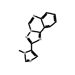 Cn1cncc1-c1nc2c3ccccc3ncn2n1